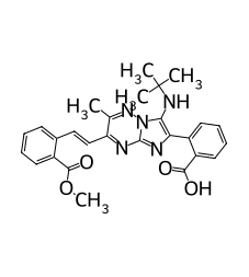 COC(=O)c1ccccc1C=Cc1nc2nc(-c3ccccc3C(=O)O)c(NC(C)(C)C)n2nc1C